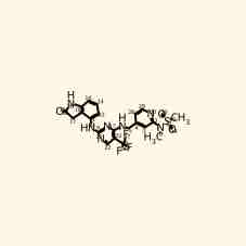 CN(c1cc(CNc2nc(Nc3cccc4c3CC(=O)N4)ncc2C(F)(F)F)ccn1)S(C)(=O)=O